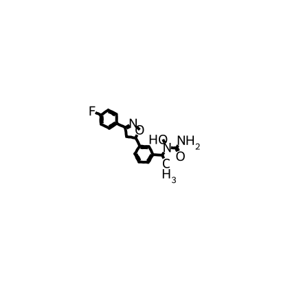 CC(c1cccc(C2CC(c3ccc(F)cc3)=NO2)c1)N(O)C(N)=O